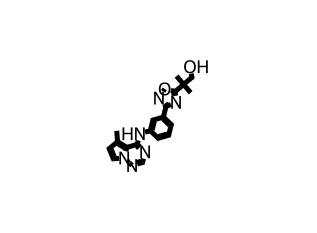 Cc1ccn2ncnc(Nc3cccc(-c4noc(C(C)(C)CO)n4)c3)c12